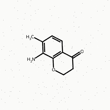 Cc1ccc2c(c1N)OCCC2=O